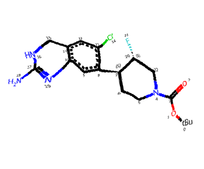 CC(C)(C)OC(=O)N1CC[C@@H](c2cc3c(cc2Cl)CNC(N)=N3)[C@H](F)C1